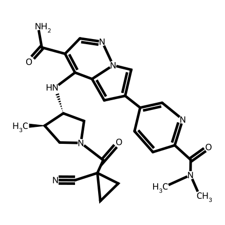 C[C@@H]1CN(C(=O)C2(C#N)CC2)C[C@H]1Nc1c(C(N)=O)cnn2cc(-c3ccc(C(=O)N(C)C)nc3)cc12